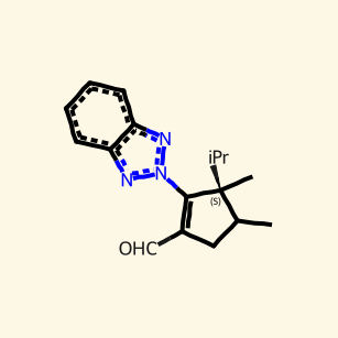 CC(C)[C@]1(C)C(n2nc3ccccc3n2)=C(C=O)CC1C